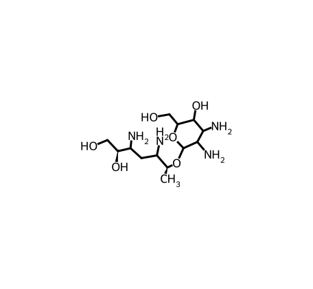 C[C@H](OC1OC(CO)C(O)C(N)C1N)C(N)CC(N)[C@@H](O)CO